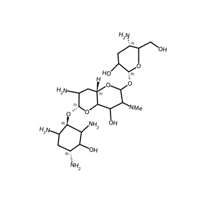 CNC1C(O[C@H]2OC(CO)[C@@H](N)CC2O)O[C@H]2CC(N)[C@@H](O[C@@H]3C(N)C[C@@H](N)C(O)C3N)OC2C1O